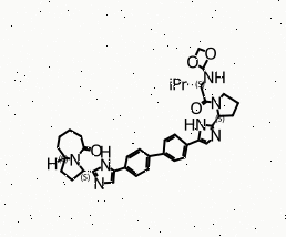 CC(C)[C@H](NC1OCO1)C(=O)N1CCC[C@H]1c1ncc(-c2ccc(-c3ccc(-c4cnc([C@@H]5CC[C@@H]6CCCCC(=O)N65)[nH]4)cc3)cc2)[nH]1